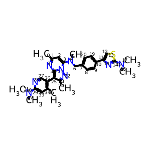 Cc1cc(N(C)Cc2ccc(-c3csc(N(C)C)n3)cc2)n2nc(C)c(-c3cnc(N(C)C)cc3C)c2n1